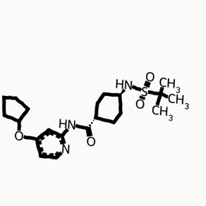 CC(C)(C)S(=O)(=O)N[C@H]1CC[C@H](C(=O)Nc2cc(OC3CCCC3)ccn2)CC1